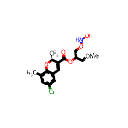 COCC(CONO)OC(=O)C1=Cc2cc(Cl)cc(C)c2O[C@@H]1C(F)(F)F